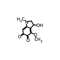 COC1=C2C(=CC(=O)C1=O)N(C)CC2O